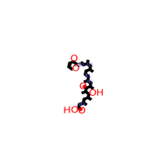 CC(=C/C(C)C/C=C/C(C)=C/C(C)C(=O)C(C)C(O)C(C)C/C(C)=C/C(=O)O)/C=C/[C@@H]1OCC=CC1=O